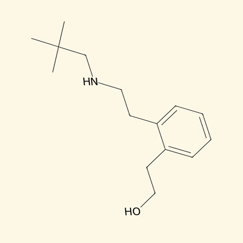 CC(C)(C)CNCCc1ccccc1CCO